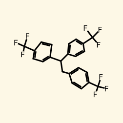 FC(F)(F)c1ccc(CC(c2ccc(C(F)(F)F)cc2)c2ccc(C(F)(F)F)cc2)cc1